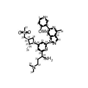 COc1ccncc1-c1cc2c(cnn2-c2cc(N3C[C@H](CS(C)(=O)=O)[C@H]3C)cc(C(N)CCN(C)C)n2)c(C)n1